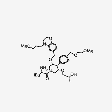 CC[C@H](C)[C@H](N)C(=O)N1C[C@H](OCc2ccc3c(c2)N(CCCOC)CCO3)[C@@H](c2ccc(COCCOC)cc2)[C@H](OC[C@@H](C)O)C1